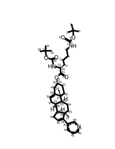 CC(C)(C)OC(=O)NCCCC[C@H](NC(=O)OC(C)(C)C)C(=O)O[C@H]1CC[C@@]2(C)C(=CC[C@@H]3[C@@H]2CC[C@]2(C)C(c4cccnc4)=CC[C@@H]32)C1